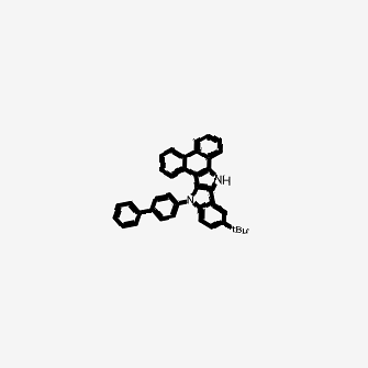 CC(C)(C)c1ccc2c(c1)c1[nH]c3c4ccccc4c4ccccc4c3c1n2-c1ccc(-c2ccccc2)cc1